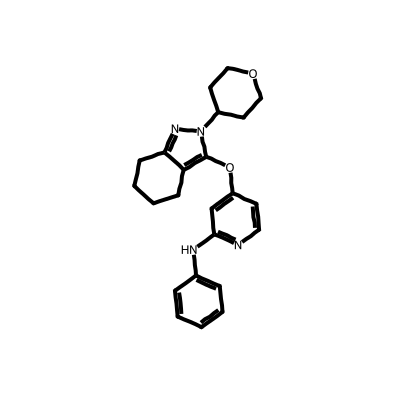 c1ccc(Nc2cc(Oc3c4c(nn3C3CCOCC3)CCCC4)ccn2)cc1